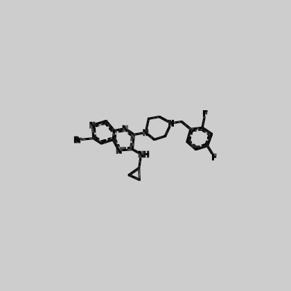 Fc1ccc(CN2CCN(c3nc4cnc(Br)cc4nc3NC3CC3)CC2)c(F)c1